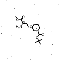 COC(=O)[C@H](N)CC[C@H]1CCCN(C(=O)OC(C)(C)C)C1